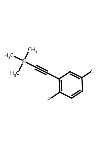 C[Si](C)(C)C#Cc1cc(Cl)ccc1F